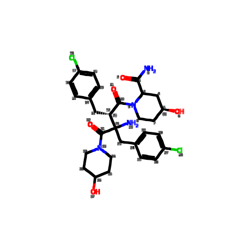 NC(=O)C1C[C@@H](O)CCN1C(=O)[C@@H](Cc1ccc(Cl)cc1)C(N)(Cc1ccc(Cl)cc1)C(=O)N1CCC(O)CC1